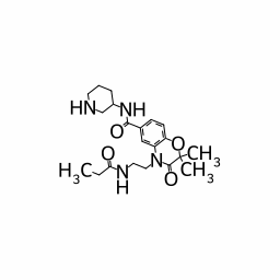 CCC(=O)NCCN1C(=O)C(C)(C)Oc2ccc(C(=O)NC3CCCNC3)cc21